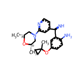 C[C@@H]1CN(c2cc(C(=N)c3cc(OC4(C)CC4)ccc3N)ccn2)C[C@H](C)O1